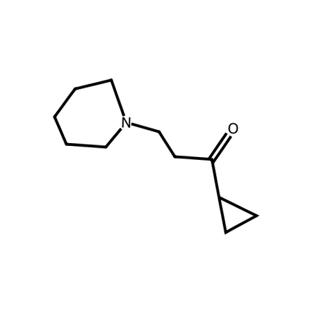 O=C(CCN1CCCCC1)C1CC1